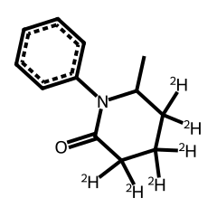 [2H]C1([2H])C(=O)N(c2ccccc2)C(C)C([2H])([2H])C1([2H])[2H]